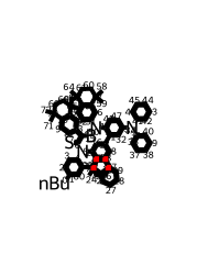 CCCCc1ccc(N2c3sc4cc5c(cc4c3B3c4c(cc6c(c42)C(C)(C)c2ccccc2-6)-c2cc(N(c4ccccc4)c4ccccc4)ccc2N3c2ccc3c(c2)C(C)(C)CCC3(C)C)C(C)(C)CCC5(C)C)c(-c2ccccc2)c1